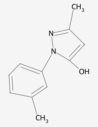 Cc1cccc(-n2nc(C)cc2O)c1